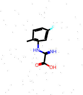 Cc1ccc(F)cc1NC(=N)C(=O)O